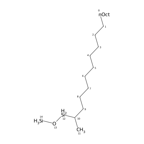 CCCCCCCCCCCCCCCCCC(C)[SiH2]O[SiH3]